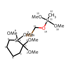 COC1(OC)CCCC[Si]1(OC)OC.CO[Si](C)(OC)OCS